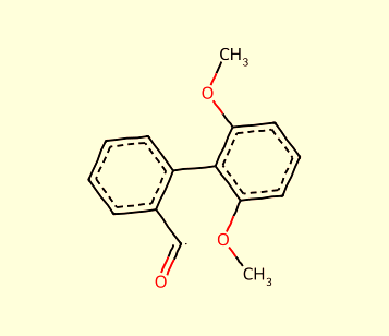 COc1cccc(OC)c1-c1ccccc1[C]=O